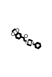 O=C(CN1CCN(c2ccccc2)CC1)c1ccc2c(c1)OCCO2